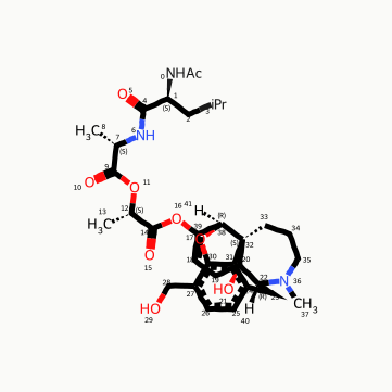 CC(=O)N[C@@H](CC(C)C)C(=O)N[C@@H](C)C(=O)O[C@@H](C)C(=O)OC1=CC[C@@]2(O)[C@H]3Cc4ccc(CO)c5c4[C@@]2(CCCN3C)[C@H]1O5